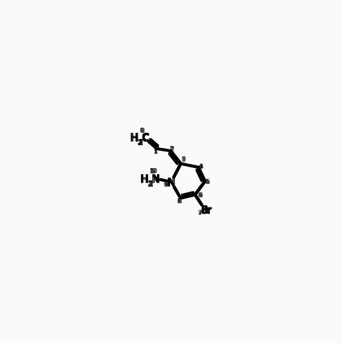 C=C/C=C1/C=CC(Br)=CN1N